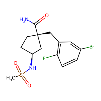 CS(=O)(=O)N[C@H]1CC[C@](Cc2cc(Br)ccc2F)(C(N)=O)C1